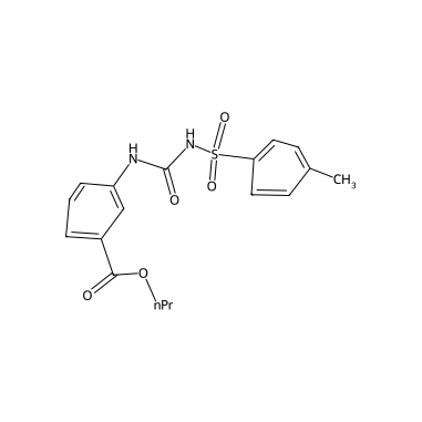 CCCOC(=O)c1cccc(NC(=O)NS(=O)(=O)c2ccc(C)cc2)c1